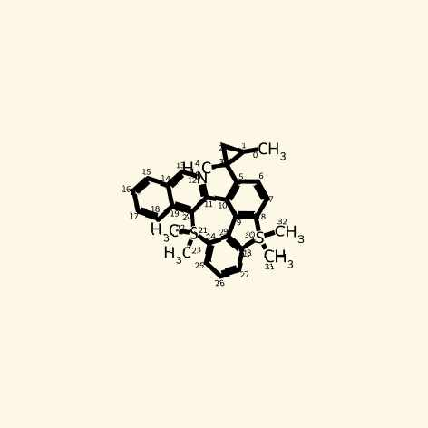 CC1CC1(C)c1ccc2c3c1-c1ncc4ccccc4c1S(C)(C)c1cccc(c1-3)S2(C)C